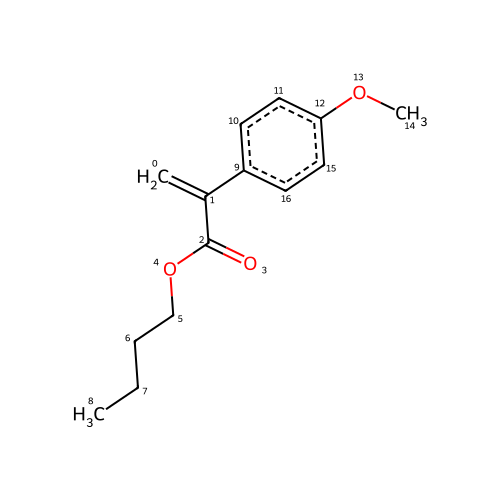 C=C(C(=O)OCCCC)c1ccc(OC)cc1